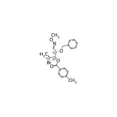 [CH2][C@H](Br)[C@H](OC(=O)c1ccc(C)cc1)[C@H](C=NOC)OCc1ccccc1